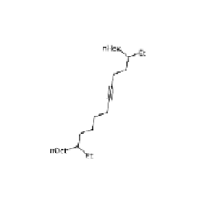 [CH2]CCCCCCCC(CC)CCCCC#CCCC(CC)CCCCC[CH2]